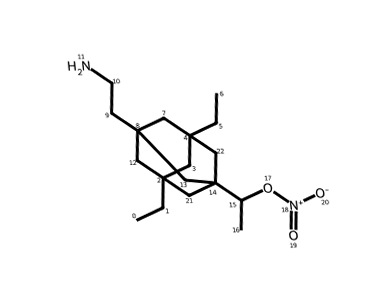 CCC12CC3(CC)CC(CCN)(C1)CC(C(C)O[N+](=O)[O-])(C2)C3